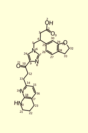 O=C(O)CC(Cn1cnc(C(=O)CCc2ccc3c(n2)NCCC3)c1)c1ccc2c(c1)OCC2